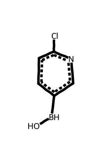 OBc1ccc(Cl)nc1